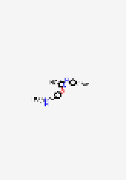 COc1ccc(N(C)c2cc(C#N)cc(Oc3ccc(CCNC(=O)O)cc3)n2)cc1